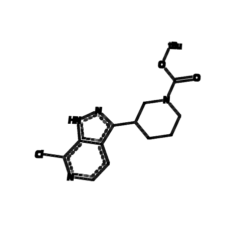 CC(C)(C)OC(=O)N1CCCC(c2n[nH]c3c(Cl)nccc23)C1